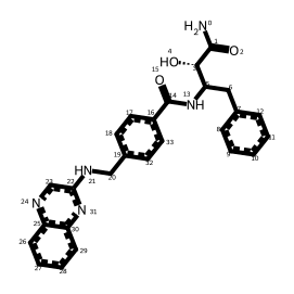 NC(=O)[C@@H](O)C(Cc1ccccc1)NC(=O)c1ccc(CNc2cnc3ccccc3n2)cc1